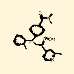 Cc1cc(C(C[C@H](c2ccc(C(=O)N(C)C)cc2)c2ccccc2C)=NO)ccn1